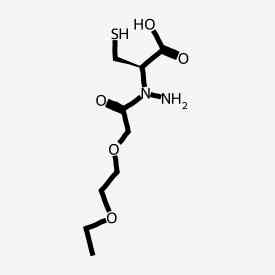 CCOCCOCC(=O)N(N)[C@@H](CS)C(=O)O